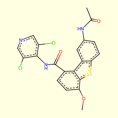 COc1ccc(C(=O)Nc2c(Cl)cncc2Cl)c2c1sc1ccc(NC(C)=O)cc12